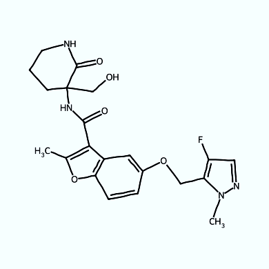 Cc1oc2ccc(OCc3c(F)cnn3C)cc2c1C(=O)NC1(CO)CCCNC1=O